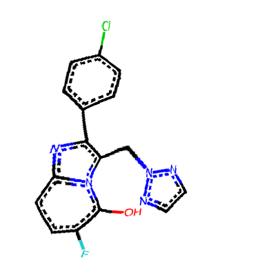 Oc1c(F)ccc2nc(-c3ccc(Cl)cc3)c(Cn3nccn3)n12